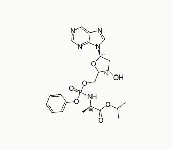 CC(C)OC(=O)[C@@H](C)NP(=O)(OCC1O[C@@H](n2cnc3cncnc32)C[C@@H]1O)Oc1ccccc1